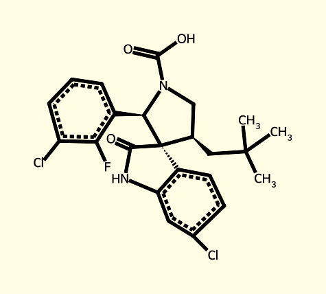 CC(C)(C)C[C@@H]1CN(C(=O)O)[C@H](c2cccc(Cl)c2F)[C@]12C(=O)Nc1cc(Cl)ccc12